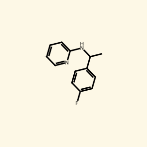 CC(Nc1cc[c]cn1)c1ccc(F)cc1